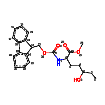 CCC(O)CCC(NC(=O)OCC1c2ccccc2-c2ccccc21)C(=O)OC